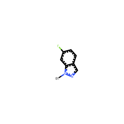 CCn1ncc2ccc(F)cc21